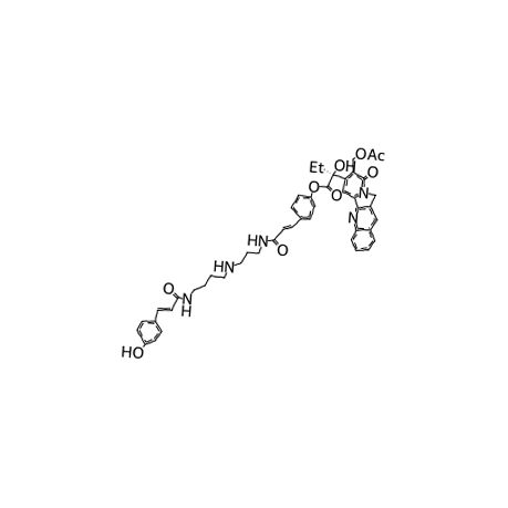 CC[C@@](O)(C(=O)Oc1ccc(/C=C/C(=O)NCCCNCCCCNC(=O)/C=C/c2ccc(O)cc2)cc1)c1cc2n(c(=O)c1COC(C)=O)Cc1cc3ccccc3nc1-2